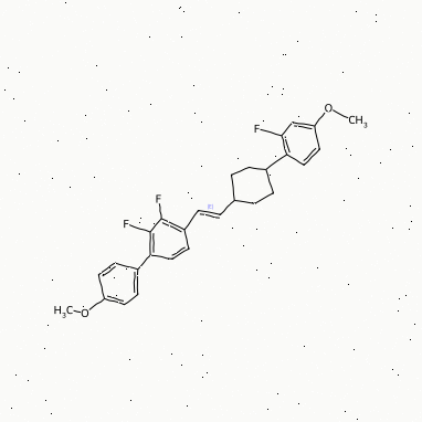 COc1ccc(-c2ccc(/C=C/C3CCC(c4ccc(OC)cc4F)CC3)c(F)c2F)cc1